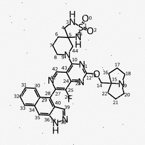 O=S1(=O)NCC2(CCCN(c3nc(OCC45CCCN4CCC5)nc4c(F)c(-c5c6ccccc6cc6[nH]ncc56)ncc34)C2)N1